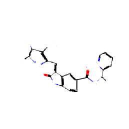 Cc1[nH]c(/C=C2\C(=O)Nc3ccc(C(=O)NC(C)c4ccccn4)cc32)c(C)c1N